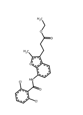 CCOC(=O)CCc1c(C)oc2c(NC(=O)c3c(Cl)cccc3Cl)cccc12